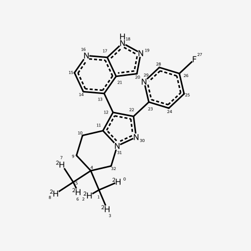 [2H]C([2H])([2H])C1(C([2H])([2H])[2H])CCc2c(-c3ccnc4[nH]ncc34)c(-c3ccc(F)cn3)nn2C1